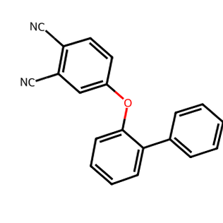 N#Cc1ccc(Oc2ccccc2-c2ccccc2)cc1C#N